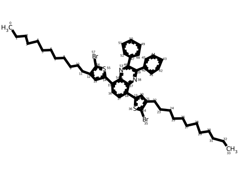 CCCCCCCCCCCCc1cc(-c2ccc(-c3cc(CCCCCCCCCCCC)c(Br)s3)c3nc(-c4ccccc4)c(-c4ccccc4)nc23)sc1Br